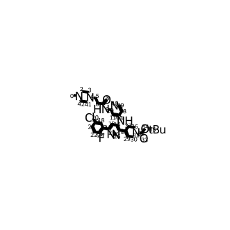 CN1CCN(CCC(=O)Nc2cc(Nc3cc(-c4cc(Cl)ccc4F)nnc3C3=CCN(C(=O)OC(C)(C)C)CC3)ccn2)CC1